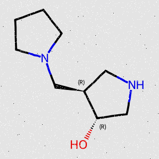 O[C@H]1CNC[C@@H]1CN1CCCC1